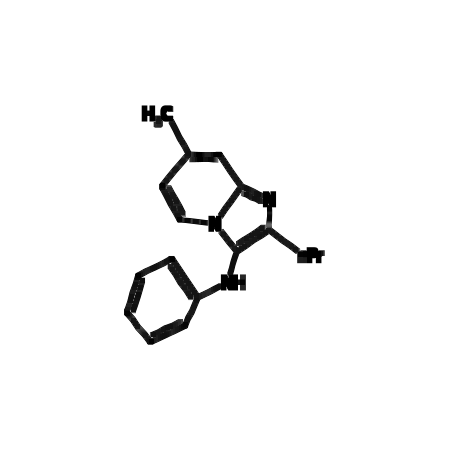 CCCc1nc2cc(C)ccn2c1Nc1ccccc1